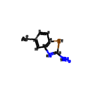 CC(=O)c1ccc2sc(N)nc2c1